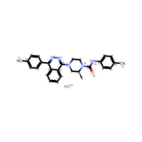 C[C@H]1CN(c2nnc(-c3ccc(C#N)cc3)c3ccccc23)CCN1C(=O)Nc1ccc(C#N)cc1.Cl